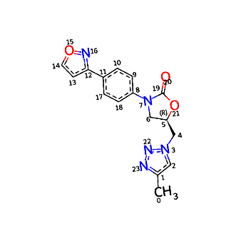 Cc1cn(C[C@H]2CN(c3ccc(-c4ccon4)cc3)C(=O)O2)nn1